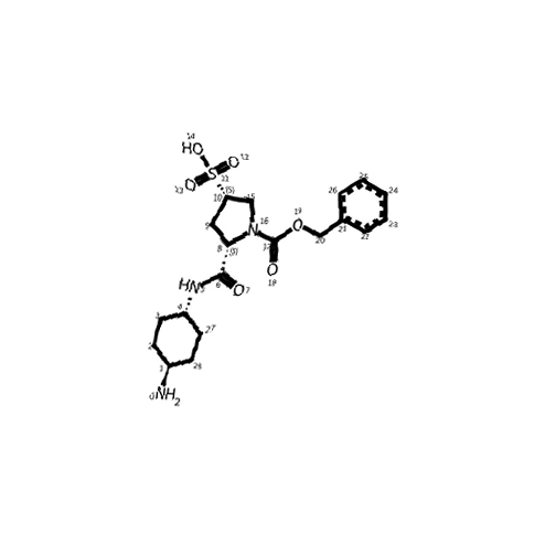 N[C@H]1CC[C@H](NC(=O)[C@@H]2C[C@H](S(=O)(=O)O)CN2C(=O)OCc2ccccc2)CC1